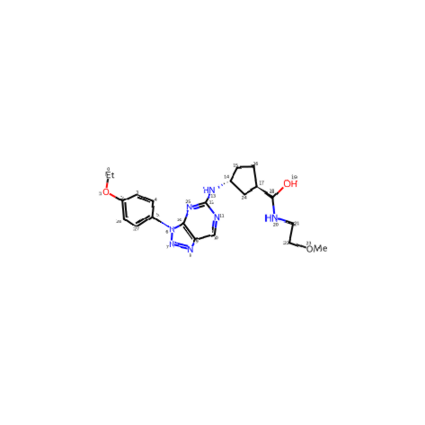 CCOc1ccc(-n2nnc3cnc(N[C@@H]4CC[C@@H](C(O)NCCOC)C4)nc32)cc1